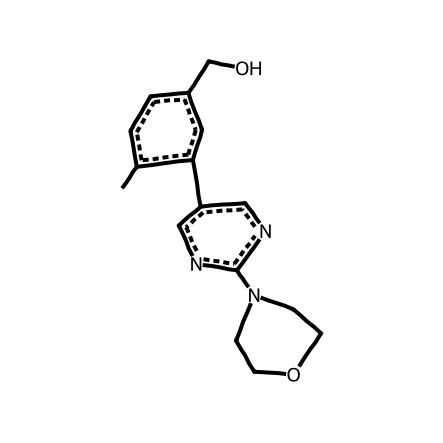 Cc1ccc(CO)cc1-c1cnc(N2CCOCC2)nc1